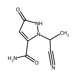 CC(C#N)n1[nH]c(=O)cc1C(N)=O